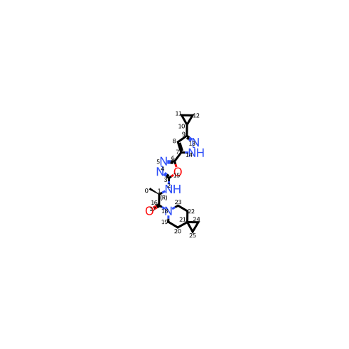 C[C@@H](Nc1nnc(-c2cc(C3CC3)n[nH]2)o1)C(=O)N1CCC2(CC1)CC2